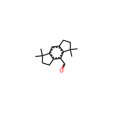 CC1(C)CCc2c1cc1c(c2C=O)C(C)(C)CC1